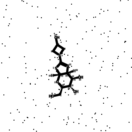 OC[C@H]1O[C@@H]2SC(N3CC(O)C3)=N[C@@H]2[C@@H](O)[C@@H]1O